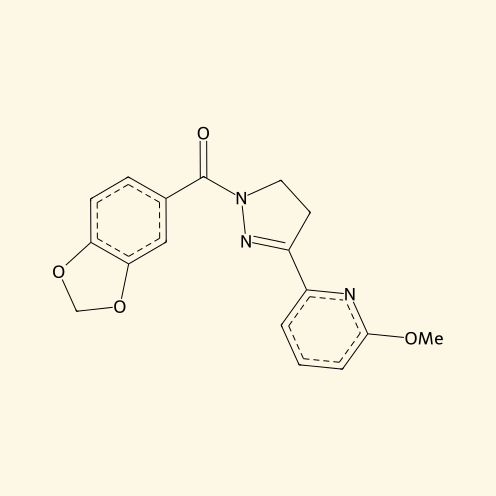 COc1cccc(C2=NN(C(=O)c3ccc4c(c3)OCO4)CC2)n1